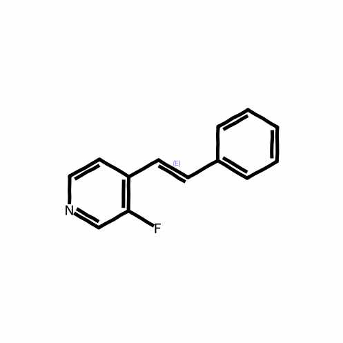 Fc1cnccc1/C=C/c1ccccc1